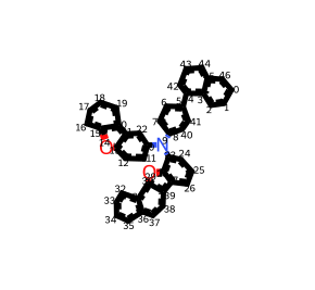 c1ccc2c(-c3ccc(N(c4ccc5oc6ccccc6c5c4)c4cccc5c4oc4c6ccccc6ccc54)cc3)cccc2c1